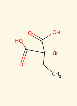 CCC(Br)(C(=O)O)C(=O)O